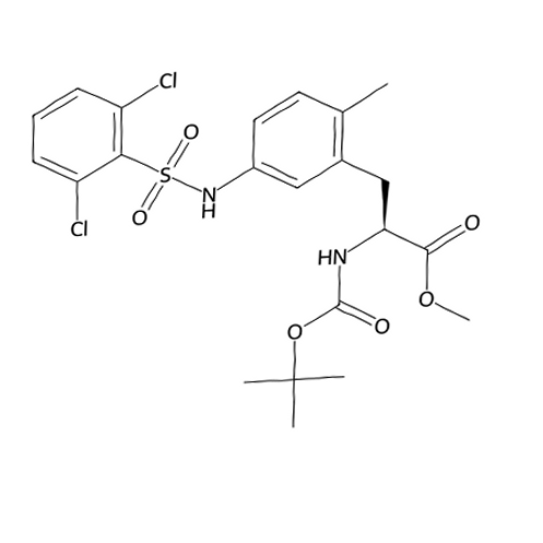 COC(=O)[C@H](Cc1cc(NS(=O)(=O)c2c(Cl)cccc2Cl)ccc1C)NC(=O)OC(C)(C)C